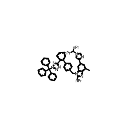 CCCc1nc2c(C)cc(-c3cn(C(CCC)CCC)cn3)cc2n1Cc1ccc(-c2ccccc2-c2nnn(C(c3ccccc3)(c3ccccc3)c3ccccc3)n2)cc1